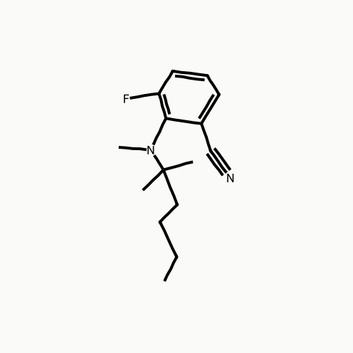 CCCCC(C)(C)N(C)c1c(F)cccc1C#N